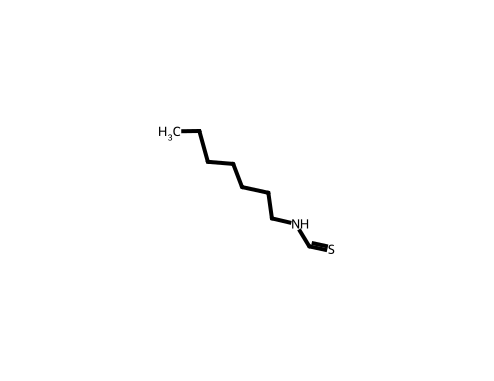 CCCCCCCNC=S